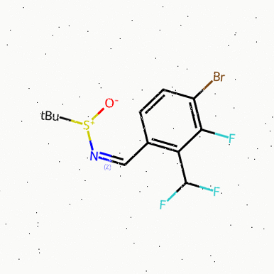 CC(C)(C)[S+]([O-])/N=C\c1ccc(Br)c(F)c1C(F)F